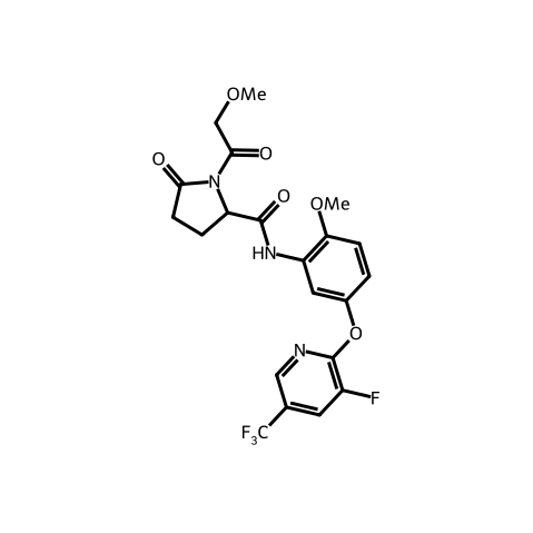 COCC(=O)N1C(=O)CCC1C(=O)Nc1cc(Oc2ncc(C(F)(F)F)cc2F)ccc1OC